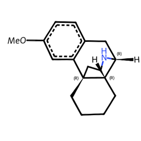 [CH2]Oc1ccc2c(c1)[C@@]13CCCC[C@H]1[C@@H](C2)NCC3